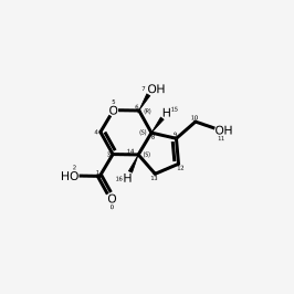 O=C(O)C1=CO[C@@H](O)[C@@H]2C(CO)=CC[C@H]12